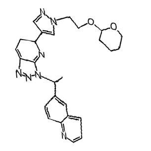 CC(c1ccc2ncccc2c1)n1nnc2c1=NC(c1cnn(CCOC3CCCCO3)c1)CC=2